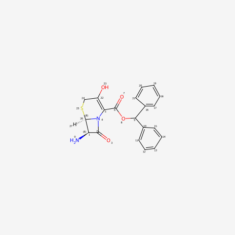 N[C@@H]1C(=O)N2C(C(=O)OC(c3ccccc3)c3ccccc3)=C(O)CS[C@H]12